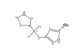 CC(C)(C)c1cc(CC(C)(C)C2CCOC2)co1